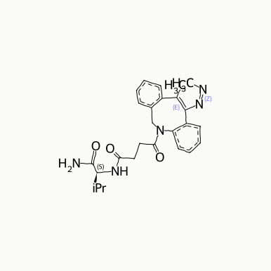 C/N=N\C1=C(/C)c2ccccc2CN(C(=O)CCC(=O)N[C@H](C(N)=O)C(C)C)c2ccccc21